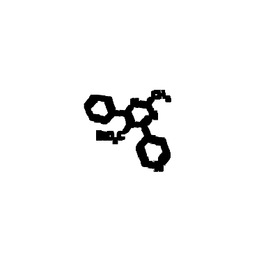 CCOC(=O)c1c(-c2ccccc2)nc(C)nc1-c1ccncc1